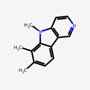 Cc1ccc2c3cnccc3n(C)c2c1C